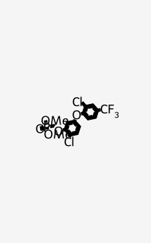 COP(=O)(COc1cc(Oc2ccc(C(F)(F)F)cc2Cl)ccc1Cl)OC